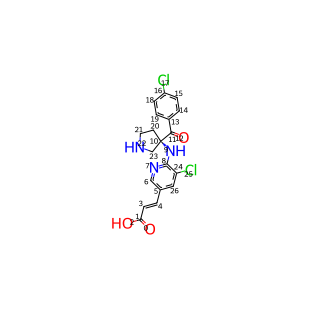 O=C(O)/C=C/c1cnc(N[C@]2(C(=O)c3ccc(Cl)cc3)CCNC2)c(Cl)c1